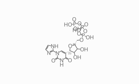 O=c1[nH]c(=O)n(-c2ncc[nH]2)cc1[C@@H]1O[C@H](COP(=O)(O)OP(=O)(O)OP(=O)(O)O)C(O)C1O